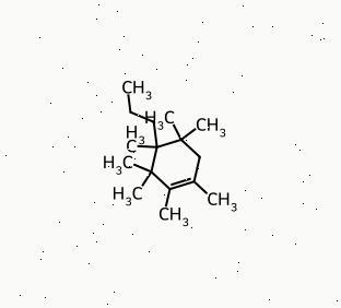 CCCC1(C)C(C)(C)CC(C)=C(C)C1(C)C